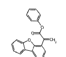 C=C(C(=O)Oc1ccccc1)c1cccc2c1oc1ccccc12